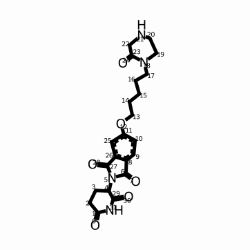 O=C1CCC(N2C(=O)c3ccc(OCCCCCN4CCNCC4=O)cc3C2=O)C(=O)N1